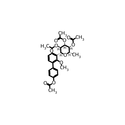 COc1c(-c2ccc(OC(C)=O)cc2)cccc1[C@H]1O[C@@H](C)[C@@H](OC(C)=O)[C@@H](OC(C)=O)[C@@H]1OC(C)=O